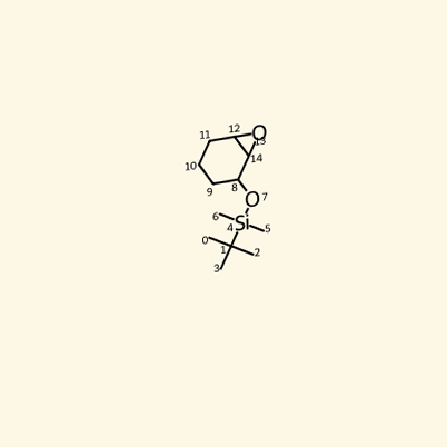 CC(C)(C)[Si](C)(C)OC1CCCC2OC21